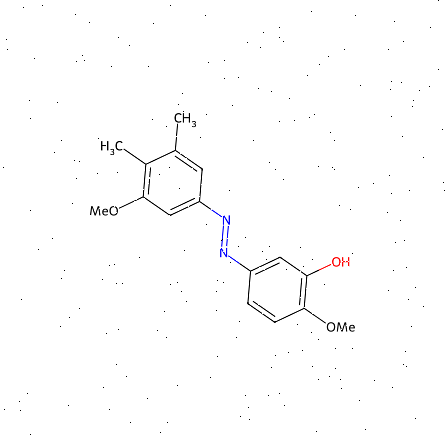 COc1ccc(/N=N/c2cc(C)c(C)c(OC)c2)cc1O